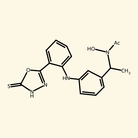 CC(=O)N(O)C(C)c1cccc(Nc2ccccc2-c2n[nH]c(=S)o2)c1